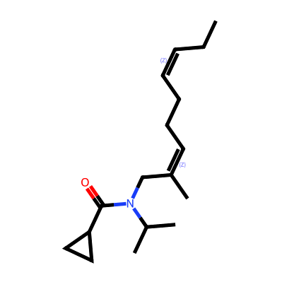 CC/C=C\CC/C=C(/C)CN(C(=O)C1CC1)C(C)C